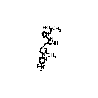 CC(O)Cn1cccc1-c1n[nH]cc1CN1CCN(c2ccc(C(F)(F)F)cn2)C(C)C1